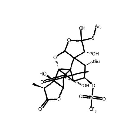 CC(=O)SC1(O)OC2O[C@@]34C(=O)OC5[C@H](OS(=O)(=O)C(F)(F)F)[C@@H](C(C)(C)C)C2([C@H]1O)C53[C@@H](O)C1OC(=O)[C@@H](C)[C@@]14O